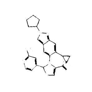 Cc1cc(C2OC=C(C(N)=O)N2c2cc3cn(C4CCCC4)nc3cc2C2CC2)ccn1